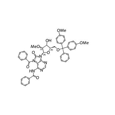 COc1ccc(C(OC[C@H]2O[C@@H](n3c(=O)n(C(=O)c4ccccc4)c4c(NC(=O)c5ccccc5)ncnc43)[C@@H](OC)C2O)(c2ccccc2)c2ccc(OC)cc2)cc1